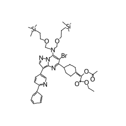 CCOC(=O)C(OC(C)=O)=C1CCC(c2nc3c(-c4ccc(-c5ccccc5)nc4)cnn3c(N(COCC[Si](C)(C)C)COCC[Si](C)(C)C)c2Br)CC1